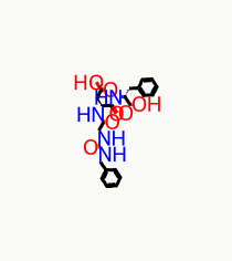 O=C(O)C[C@H](NC(=O)CNC(=O)NCc1ccccc1)C(=O)N[C@H](Cc1ccccc1)C(=O)O